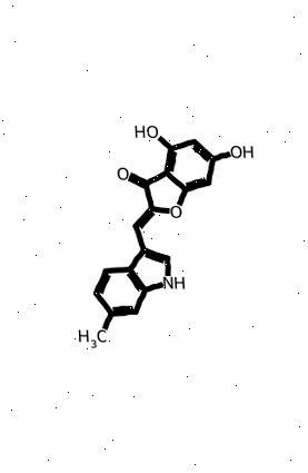 Cc1ccc2c(C=C3Oc4cc(O)cc(O)c4C3=O)c[nH]c2c1